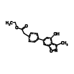 CCOC(=O)Cc1ccc(-c2cc(O)c3c(C)noc3c2)cc1